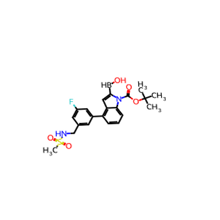 CC(C)(C)OC(=O)n1c(BO)cc2c(-c3cc(F)cc(CNS(C)(=O)=O)c3)cccc21